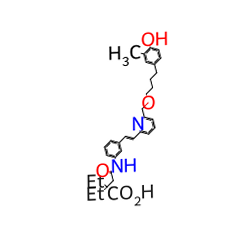 CCC(CC)(CC(=O)Nc1cccc(/C=C/c2cccc(COCCCCc3ccc(O)c(C)c3)n2)c1)C(=O)O